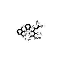 C=CC(NC)C(C)C(C(=C)/C=C(\C)S)N(C)c1ccccc1Nc1c(C(C)C)cccc1C(C)C